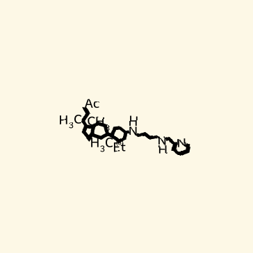 CC[C@H]1CC(NCCCCNCc2ccccn2)CCC1(C)C1CCC2(C)C(CCC2C(C)CCC(C)=O)C1